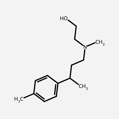 Cc1ccc(C(C)CCN(C)CCO)cc1